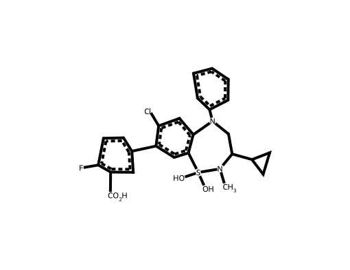 CN1C(C2CC2)CN(c2ccccc2)c2cc(Cl)c(-c3ccc(F)c(C(=O)O)c3)cc2S1(O)O